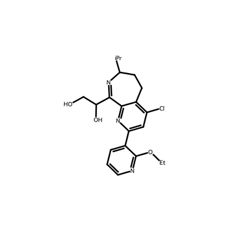 CCOc1ncccc1-c1cc(Cl)c2c(n1)C(C(O)CO)=NC(C(C)C)CC2